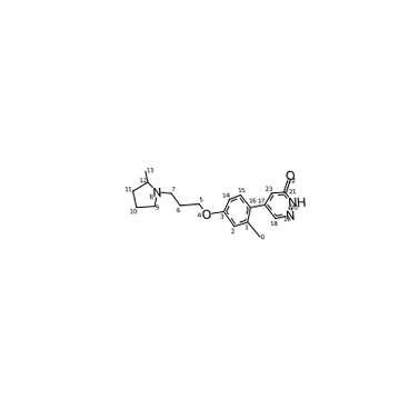 Cc1cc(OCCCN2CCCC2C)ccc1-c1cn[nH]c(=O)c1